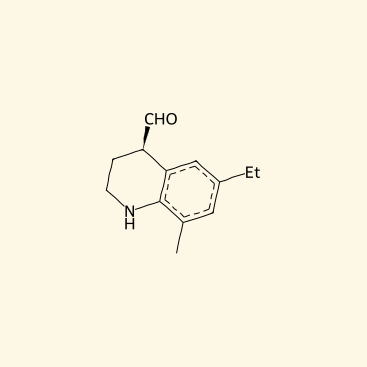 CCc1cc(C)c2c(c1)[C@H](C=O)CCN2